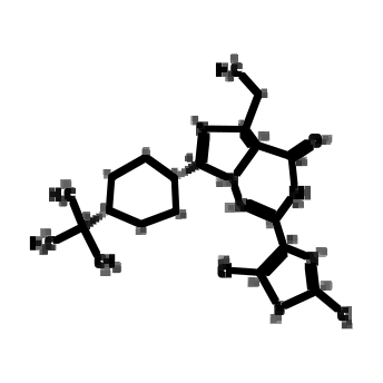 CCc1nc([C@H]2CC[C@@H](C(C)(C)C)CC2)n2nc(-c3nc(Cl)sc3Cl)[nH]c(=O)c12